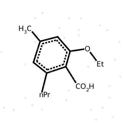 CCCc1cc(C)cc(OCC)c1C(=O)O